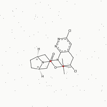 CC(C)(C)OC(=O)N1[C@@H]2CC[C@H]1CC(N1CC(Cl)Cc3cc(Cl)nnc31)C2